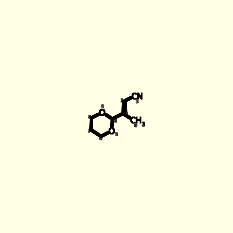 CC(=CC#N)C1OCCCO1